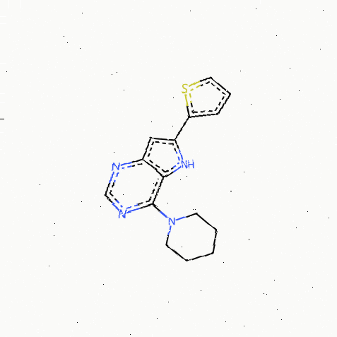 c1csc(-c2cc3ncnc(N4CCCCC4)c3[nH]2)c1